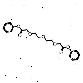 O=C(COCCOCCOCC(=O)Oc1ccccc1)Oc1ccccc1